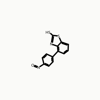 O=Nc1ccc(-c2cccc3sc(S)nc23)cc1